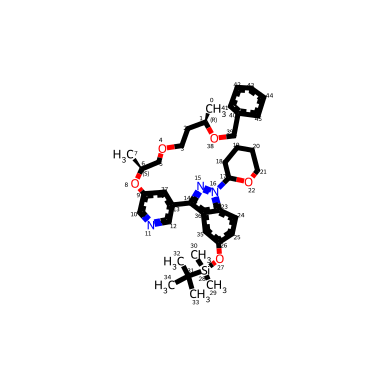 C[C@H](CCOC[C@H](C)Oc1cncc(-c2nn(C3CCCCO3)c3ccc(O[Si](C)(C)C(C)(C)C)cc23)c1)OCc1ccccc1